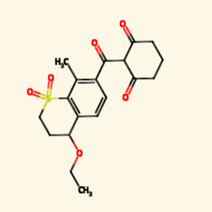 CCOC1CCS(=O)(=O)c2c1ccc(C(=O)C1C(=O)CCCC1=O)c2C